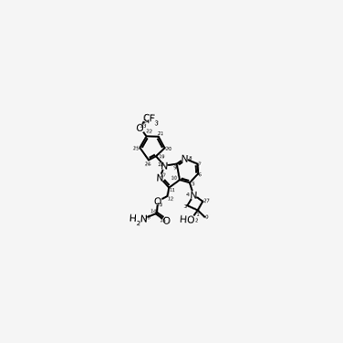 CC1(O)CN(c2ccnc3c2c(COC(N)=O)nn3-c2ccc(OC(F)(F)F)cc2)C1